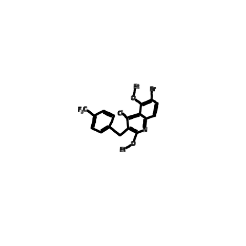 CCOc1nc2ccc(Br)c(OCC)c2c(Cl)c1Cc1ccc(C(F)(F)F)cc1